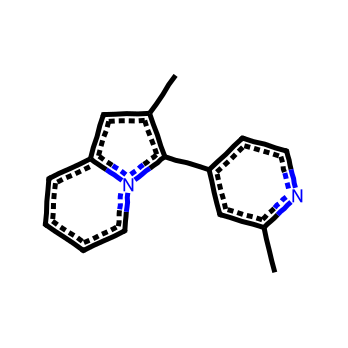 Cc1cc(-c2c(C)cc3ccccn23)ccn1